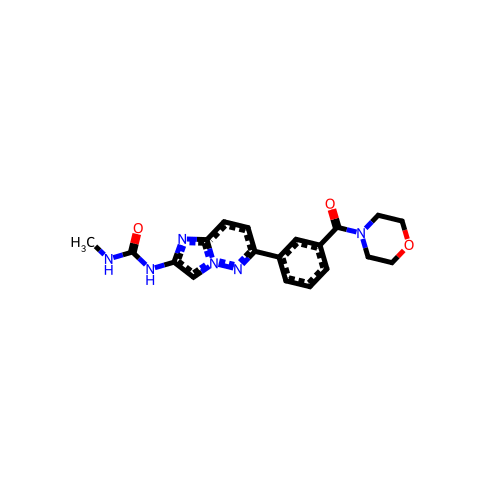 CNC(=O)Nc1cn2nc(-c3cccc(C(=O)N4CCOCC4)c3)ccc2n1